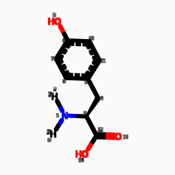 [2H]N([2H])[C@@H](Cc1ccc(O)cc1)C(=O)O